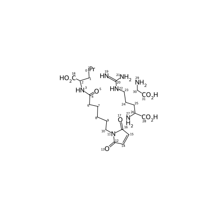 CC(C)CC(NC(=O)CCCCCN1C(=O)C=CC1=O)C(=O)O.N=C(N)NCCCC(N)C(=O)O.NCC(=O)O